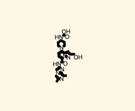 Cc1cn2cc(NC(=O)c3ccc(N4CCC(NC(=O)O)CC4)c4cc(CO)nn34)nc2c(C)n1